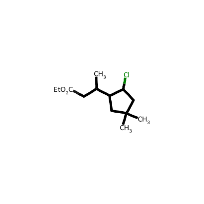 CCOC(=O)CC(C)C1CC(C)(C)CC1Cl